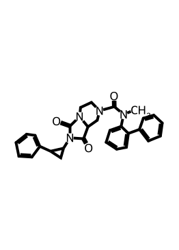 CN(C(=O)N1CCN2C(=O)N(C3CC3c3ccccc3)C(=O)C2C1)c1ccccc1-c1ccccc1